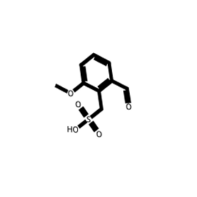 COc1cccc(C=O)c1CS(=O)(=O)O